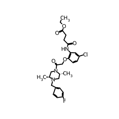 CCOC(=O)CCC(=O)Nc1cc(Cl)ccc1OCC(=O)N1C[C@H](C)N(Cc2ccc(F)cc2)C[C@H]1C